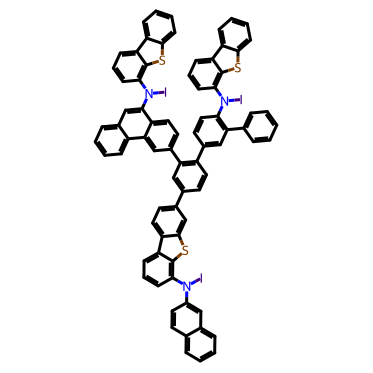 IN(c1ccc2ccccc2c1)c1cccc2c1sc1cc(-c3ccc(-c4ccc(N(I)c5cccc6c5sc5ccccc56)c(-c5ccccc5)c4)c(-c4ccc5c(N(I)c6cccc7c6sc6ccccc67)cc6ccccc6c5c4)c3)ccc12